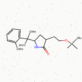 COc1ccccc1C(OC)(OC)C1CC(CCO[Si](C)(C)C(C)(C)C)C(=O)N1